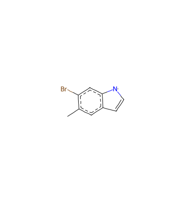 Cc1cc2c(cc1Br)[N]C=C2